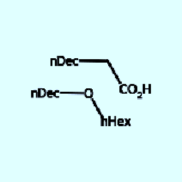 CCCCCCCCCCCC(=O)O.CCCCCCCCCCOCCCCCC